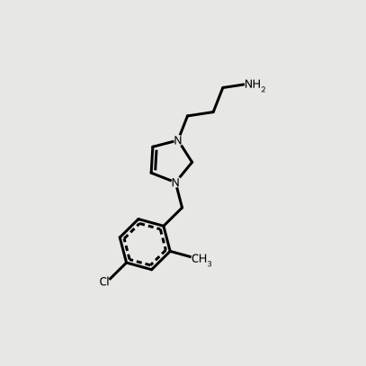 Cc1cc(Cl)ccc1CN1C=CN(CCCN)C1